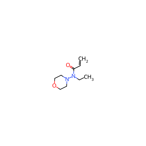 C=CC(=O)N(CC)N1CCOCC1